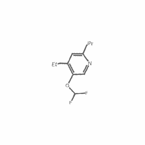 CCc1cc(C(C)C)ncc1OC(F)F